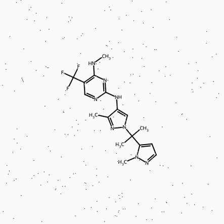 CNc1nc(Nc2cn(C(C)(C)c3ccnn3C)nc2C)ncc1C(F)(F)F